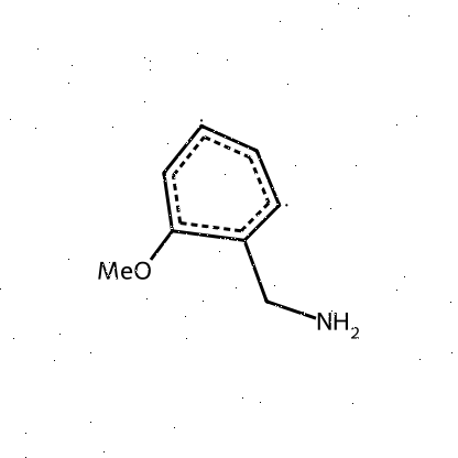 COc1c[c]c[c]c1CN